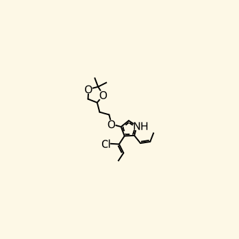 C/C=C\c1[nH]cc(OCCC2COC(C)(C)O2)c1/C(Cl)=C/C